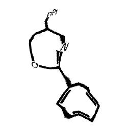 CCCC1COC(c2ccccc2)=N1